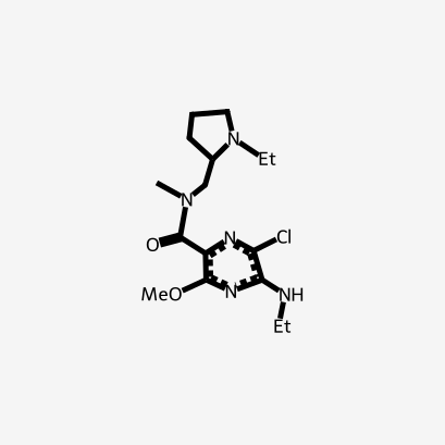 CCNc1nc(OC)c(C(=O)N(C)CC2CCCN2CC)nc1Cl